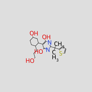 CC(C)(c1nc(O)c(C2CC(O)CCC2CCCO)c(O)n1)c1cccs1